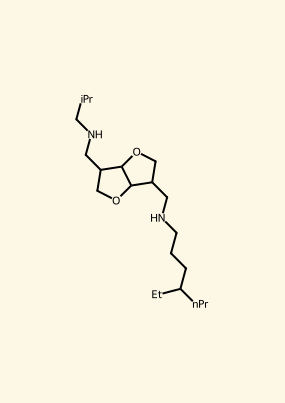 CCCC(CC)CCCNCC1COC2C(CNCC(C)C)COC12